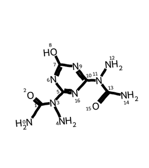 NC(=O)N(N)c1nc(O)nc(N(N)C(N)=O)n1